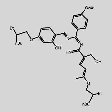 CCCCC(CC)CO/C(C)=C/C=C(\CO)C(=N)/N=C(\N=C\c1ccc(OCC(CC)CCCC)cc1O)c1ccc(OC)cc1